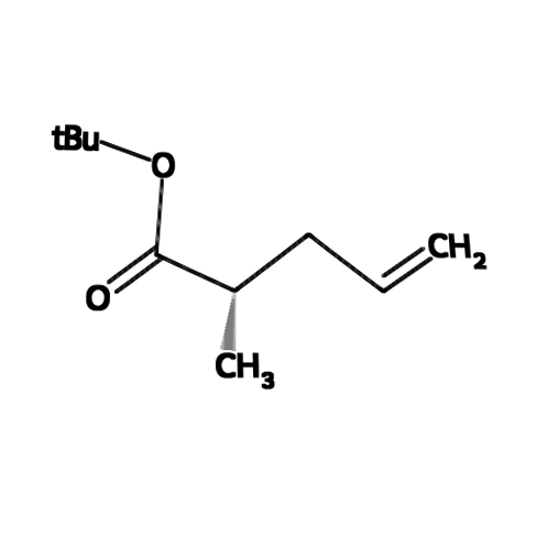 C=CC[C@H](C)C(=O)OC(C)(C)C